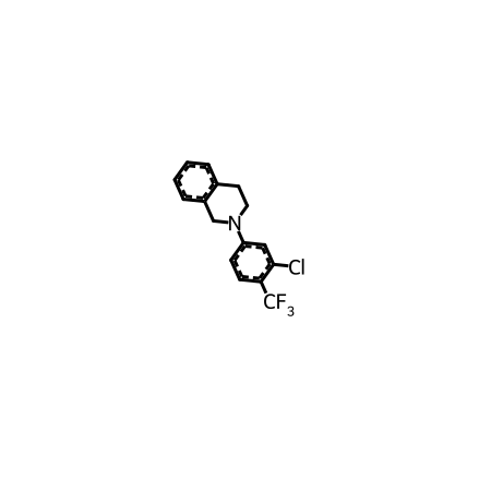 FC(F)(F)c1ccc(N2CCc3ccccc3C2)cc1Cl